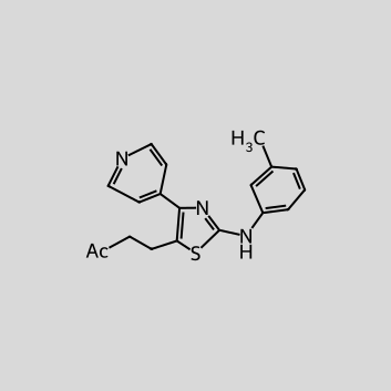 CC(=O)CCc1sc(Nc2cccc(C)c2)nc1-c1ccncc1